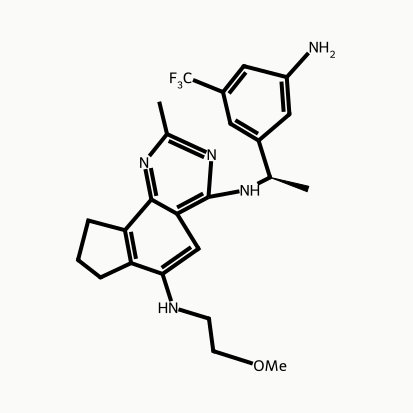 COCCNc1cc2c(N[C@H](C)c3cc(N)cc(C(F)(F)F)c3)nc(C)nc2c2c1CCC2